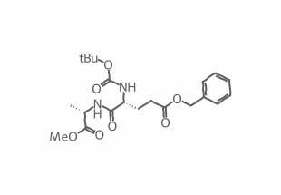 COC(=O)[C@H](C)NC(=O)[C@@H](CCC(=O)OCc1ccccc1)NC(=O)OC(C)(C)C